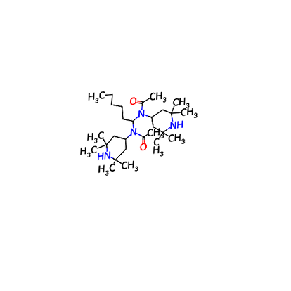 CCCCCC(N(C(C)=O)C1CC(C)(C)NC(C)(C)C1)N(C(C)=O)C1CC(C)(C)NC(C)(C)C1